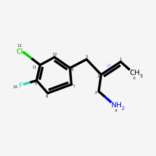 C/C=C(\CN)Cc1ccc(F)c(Cl)c1